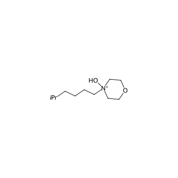 CC(C)CCCC[N+]1(O)CCOCC1